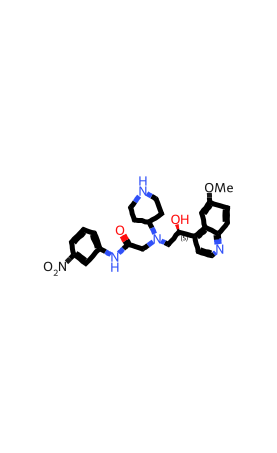 COc1ccc2nccc([C@H](O)CN(CC(=O)Nc3cccc([N+](=O)[O-])c3)C3CCNCC3)c2c1